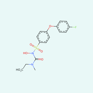 CN(CC(=O)O)C(=O)N(O)S(=O)(=O)c1ccc(Oc2ccc(F)cc2)cc1